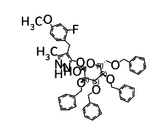 COc1ccc(Cc2c(O[C@]3(O)O[C@H](COCc4ccccc4)[C@@H](OCc4ccccc4)[C@H](OCc4ccccc4)[C@H]3OCc3ccccc3)n[nH]c2C)c(F)c1